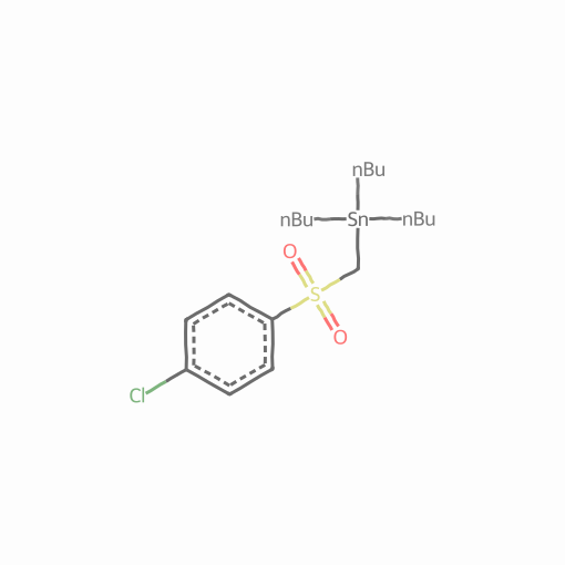 CCC[CH2][Sn]([CH2]CCC)([CH2]CCC)[CH2]S(=O)(=O)c1ccc(Cl)cc1